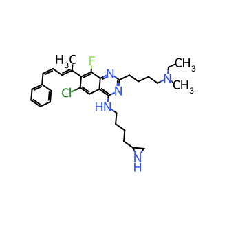 CCN(C)CCCCc1nc(NCCCCC2CN2)c2cc(Cl)c(/C(C)=C/C=C\c3ccccc3)c(F)c2n1